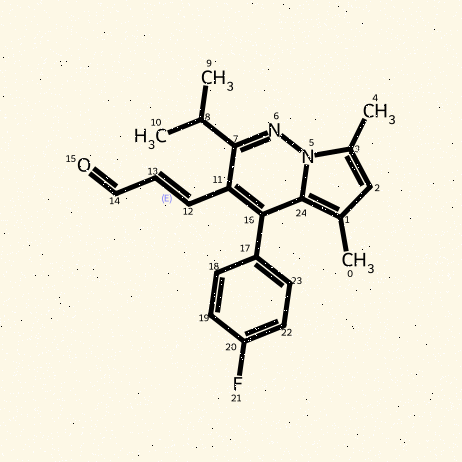 Cc1cc(C)n2nc(C(C)C)c(/C=C/C=O)c(-c3ccc(F)cc3)c12